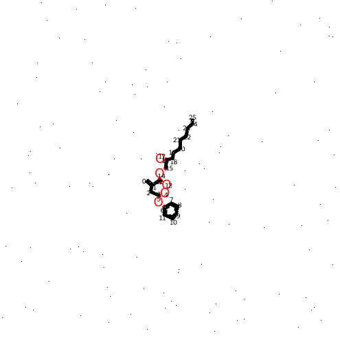 C=C(CC(=O)Oc1ccccc1)C(=O)OCC(=O)CCCCCCCC